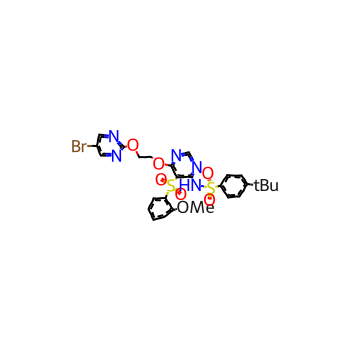 COc1ccccc1S(=O)(=O)c1c(NS(=O)(=O)c2ccc(C(C)(C)C)cc2)ncnc1OCCOc1ncc(Br)cn1